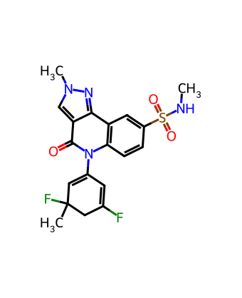 CNS(=O)(=O)c1ccc2c(c1)c1nn(C)cc1c(=O)n2C1=CC(C)(F)CC(F)=C1